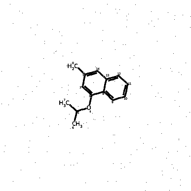 [CH2]c1cc(OC(C)C)c2ccccc2c1